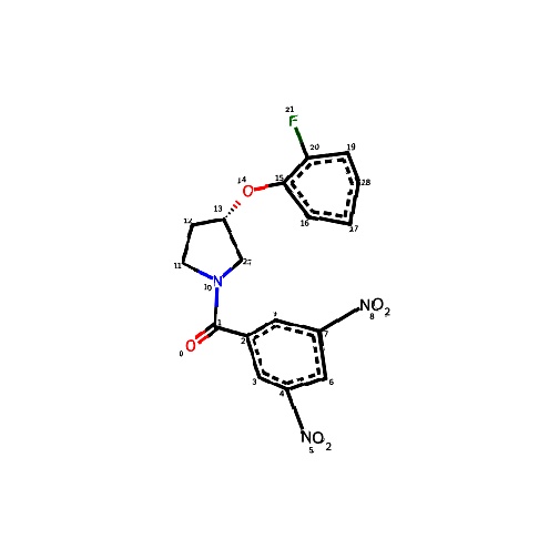 O=C(c1cc([N+](=O)[O-])cc([N+](=O)[O-])c1)N1CC[C@H](Oc2ccccc2F)C1